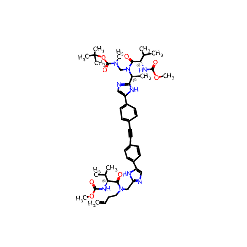 C=CCCN(Cc1ncc(-c2ccc(C#Cc3ccc(-c4cnc([C@H](C)N(CN(C)C(=O)OC(C)(C)C)C(=O)[C@@H](NC(=O)OC)C(C)C)[nH]4)cc3)cc2)[nH]1)C(=O)[C@@H](NC(=O)OC)C(C)C